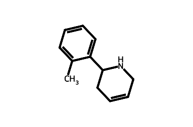 Cc1ccccc1C1CC=CCN1